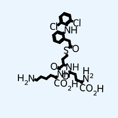 NCCCCC(NC(=O)C(CCSC(=O)Cc1ccccc1Nc1c(Cl)cccc1Cl)NC(=O)CCC(N)C(=O)O)C(=O)O